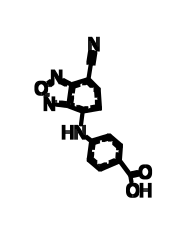 N#Cc1ccc(Nc2ccc(C(=O)O)cc2)c2nonc12